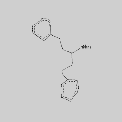 CCCCCCCCCC(CCc1ccccc1)CCc1ccccc1